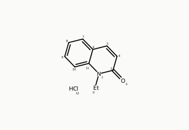 CCn1c(=O)ccc2ccccc21.Cl